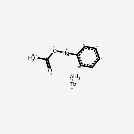 CC(=O)[O][Hg][c]1ccccc1.[AlH3].[Tb]